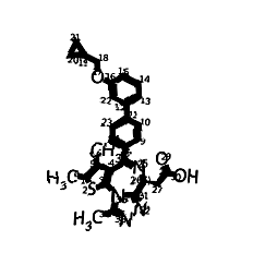 Cc1sc2c(c1C)C(c1ccc(-c3cccc(OCC4CC4)c3)cc1)=N[C@@H](CC(=O)O)c1nnc(C)n1-2